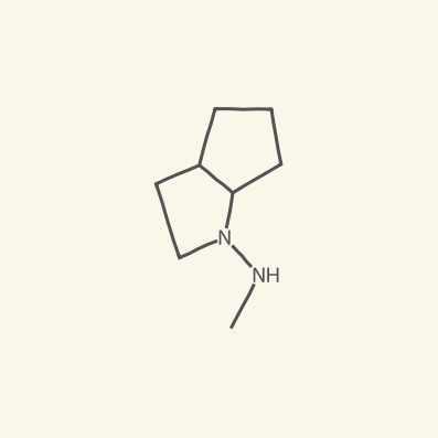 CNN1CCC2CCCC21